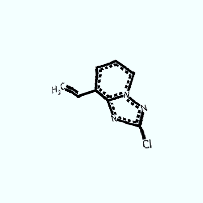 C=Cc1cccn2nc(Cl)nc12